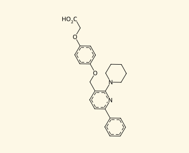 O=C(O)COc1ccc(OCc2ccc(-c3ccccc3)nc2N2CCCCC2)cc1